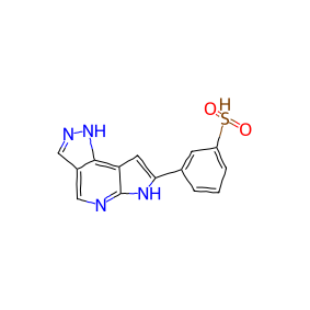 O=[SH](=O)c1cccc(-c2cc3c(ncc4cn[nH]c43)[nH]2)c1